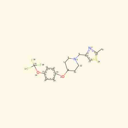 Cc1nc(CN2CCC(Oc3ccc(OC(F)(F)F)cc3)CC2)cs1